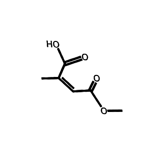 COC(=O)/C=C(/C)C(=O)O